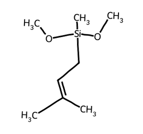 CO[Si](C)(CC=C(C)C)OC